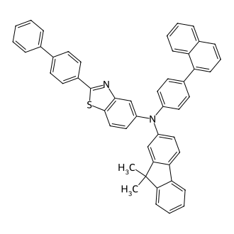 CC1(C)c2ccccc2-c2ccc(N(c3ccc(-c4cccc5ccccc45)cc3)c3ccc4sc(-c5ccc(-c6ccccc6)cc5)nc4c3)cc21